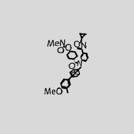 CNC(=O)O[C@H]1CC[C@H](C(=O)N(CC23CCC(c4ccc(OC)c(C)c4)(CC2)CC3)c2cccc(-c3coc(C4CC4)n3)c2)CC1